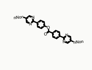 CCCCCCCCCc1cnc(-c2ccc(OC(=O)c3ccc(-c4ncc(CCCCCCCCC)cn4)cc3)cc2)nc1